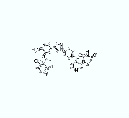 C[C@@H](Oc1cc(-c2cnn(C3CCN(Cc4ccncc4N4CCC(=O)NC4=O)CC3)c2)cnc1N)c1c(Cl)ccc(F)c1Cl